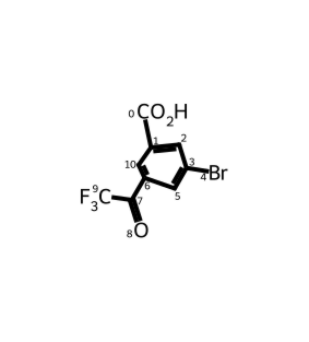 O=C(O)c1cc(Br)cc(C(=O)C(F)(F)F)c1